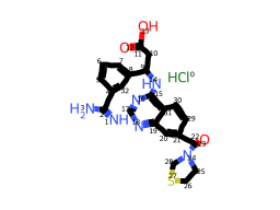 Cl.N=C(N)c1cccc(C(CC(=O)O)Nc2ncnc3cc(C(=O)N4CCSC4)ccc23)c1